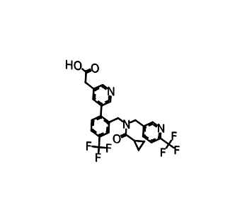 O=C(O)Cc1cncc(-c2ccc(C(F)(F)F)cc2CN(Cc2ccc(C(F)(F)F)nc2)C(=O)C2CC2)c1